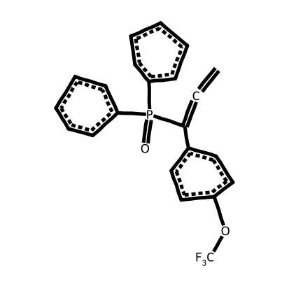 C=C=C(c1ccc(OC(F)(F)F)cc1)P(=O)(c1ccccc1)c1ccccc1